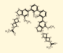 COc1nc(-c2cccc(-c3cccc(-c4cc5c(c(OC)n4)[C@H](N4CC6(CN(C(C)=O)C6)C4)CC5)c3Cl)c2Cl)cc2c1[C@H](N1CC3(CN(C(C)=O)C3)C1)CC2